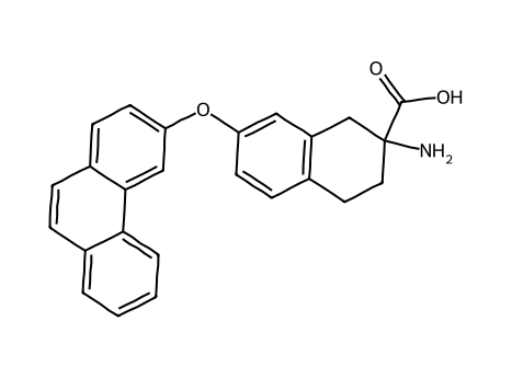 NC1(C(=O)O)CCc2ccc(Oc3ccc4ccc5ccccc5c4c3)cc2C1